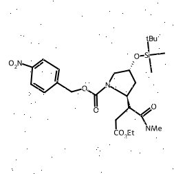 CCOC(=O)CC(C(=O)NC)[C@@H]1C[C@@H](O[Si](C)(C)C(C)(C)C)CN1C(=O)OCc1ccc([N+](=O)[O-])cc1